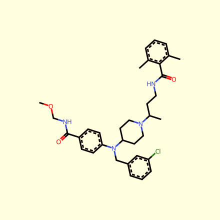 COCNC(=O)c1ccc(N(Cc2cccc(Cl)c2)C2CCN(C(C)CCNC(=O)c3c(C)cccc3C)CC2)cc1